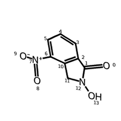 O=C1c2cccc([N+](=O)[O-])c2CN1O